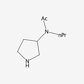 CCCN(C(C)=O)C1CCNC1